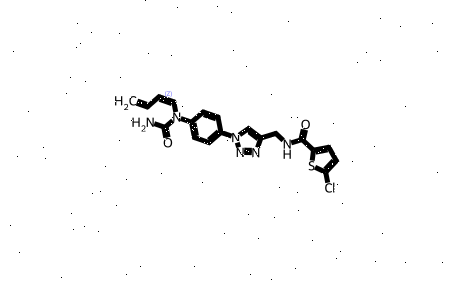 C=C/C=C\N(C(N)=O)c1ccc(-n2cc(CNC(=O)c3ccc(Cl)s3)nn2)cc1